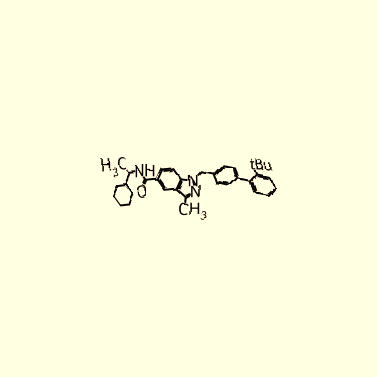 Cc1nn(Cc2ccc(-c3ccccc3C(C)(C)C)cc2)c2ccc(C(=O)N[C@@H](C)C3CCCCC3)cc12